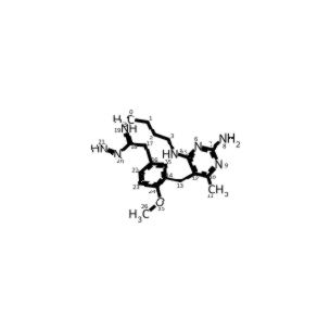 CCCCNc1nc(N)nc(C)c1Cc1cc(CC(=N)N=N)ccc1OC